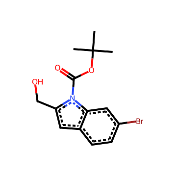 CC(C)(C)OC(=O)n1c(CO)cc2ccc(Br)cc21